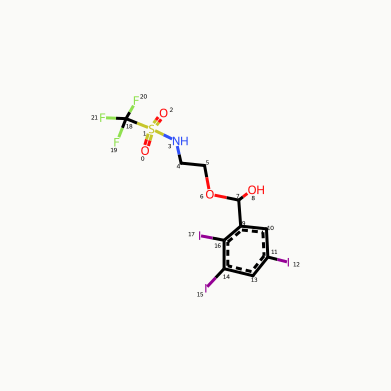 O=S(=O)(NCCOC(O)c1cc(I)cc(I)c1I)C(F)(F)F